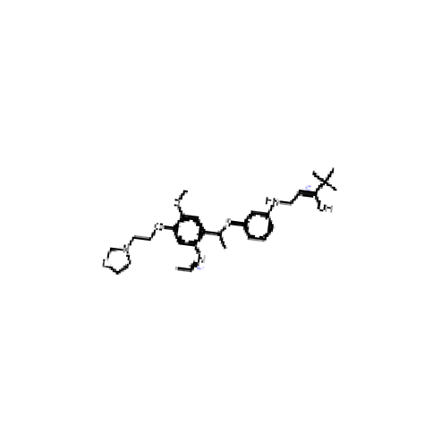 C/C=N\c1cc(OCCN2CCOC2)c(OC)cc1C(C)Sc1cccc(NC/C=C(\O)C(C)(C)C)c1